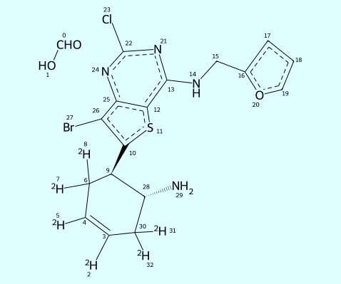 O=CO.[2H]C1=C([2H])C([2H])([2H])[C@@H](c2sc3c(NCc4ccco4)nc(Cl)nc3c2Br)[C@H](N)C1([2H])[2H]